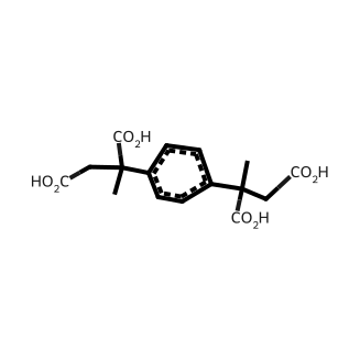 CC(CC(=O)O)(C(=O)O)c1ccc(C(C)(CC(=O)O)C(=O)O)cc1